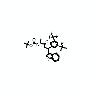 CC(NC(=O)OC(C)(C)C)C(=O)CC(c1cc(C(F)(F)F)cc(C(F)(F)F)c1)c1csc2ccccc12